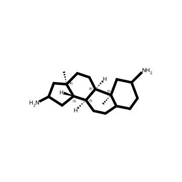 C[C@]12CC[C@@H]3[C@@H](CCC4CCC(N)C[C@@]43C)[C@@H]1CC(N)C2